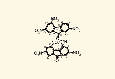 O=C1c2cc([N+](=O)[O-])cc([N+](=O)[O-])c2-c2c1cc([N+](=O)[O-])cc2[N+](=O)[O-].O=C1c2cc([N+](=O)[O-])ccc2-c2c1cc([N+](=O)[O-])cc2[N+](=O)[O-]